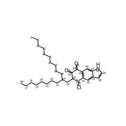 CCCCCCCCCCC(CCCCCCCC)CC1C(=O)C(=O)c2cc3[nH]ccc3cc2N1Cl